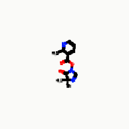 Cc1ncccc1C(=O)ON1C=N[C@](C)(C(C)C)C1=O